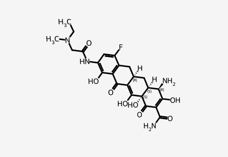 CCN(C)CC(=O)Nc1cc(F)c2c(c1O)C(=O)C1=C(O)[C@]3(O)C(=O)C(C(N)=O)=C(O)[C@H](N)[C@@H]3C[C@@H]1C2